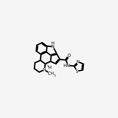 CN1CCCC2c3cccc4[nH]c5c(c34)C(C=C5C(=O)Nc3nccs3)[C@H]21